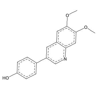 COc1cc2cc(-c3ccc(O)cc3)cnc2cc1OC